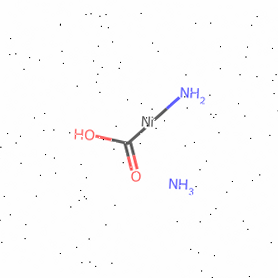 N.[NH2][Ni][C](=O)O